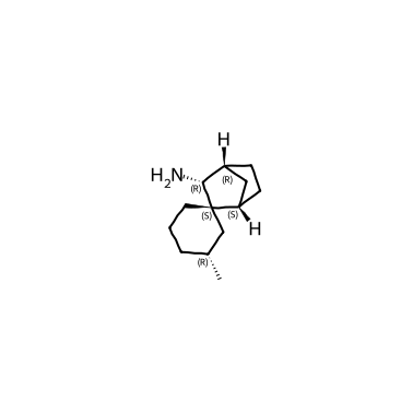 C[C@@H]1CCC[C@]2(C1)[C@H]1CC[C@H](C1)[C@H]2N